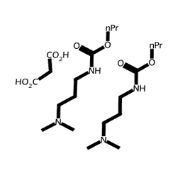 CCCOC(=O)NCCCN(C)C.CCCOC(=O)NCCCN(C)C.O=C(O)CC(=O)O